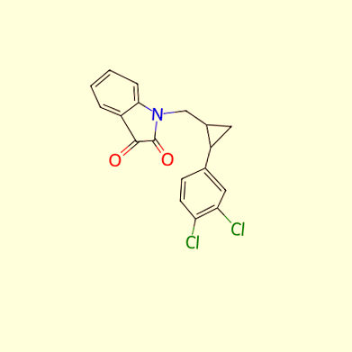 O=C1C(=O)N(CC2CC2c2ccc(Cl)c(Cl)c2)c2ccccc21